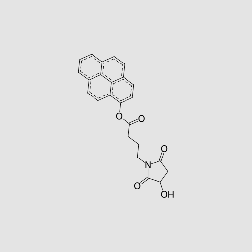 O=C(CCCN1C(=O)CC(O)C1=O)Oc1ccc2ccc3cccc4ccc1c2c34